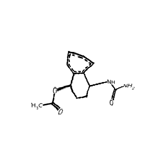 CC(=O)OC1CCC(NC(N)=O)c2ccccc21